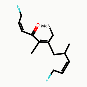 CNC/C(CC(C)/C=C\CF)=C(/C)C(=O)/C=C\CF